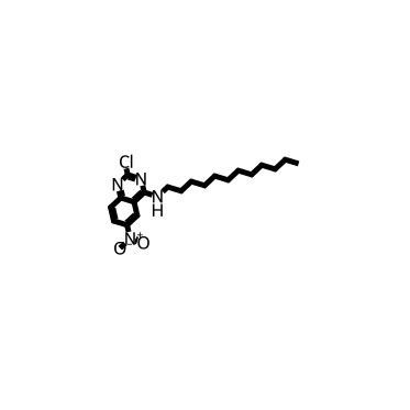 CCCCCCCCCCCCNc1nc(Cl)nc2ccc([N+](=O)[O-])cc12